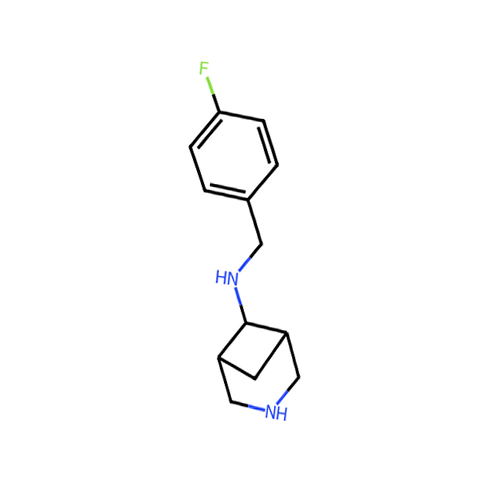 Fc1ccc(CNC2C3CNCC2C3)cc1